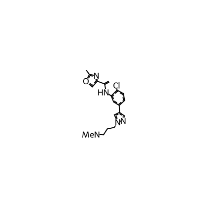 C=C(Nc1cc(-c2cnn(CCCNC)c2)ccc1Cl)c1coc(C)n1